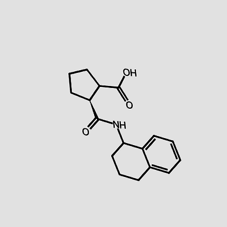 O=C(O)C1CCC[C@@H]1C(=O)NC1CCCc2ccccc21